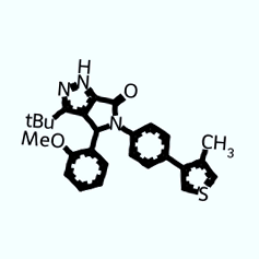 COc1ccccc1C1c2c(C(C)(C)C)n[nH]c2C(=O)N1c1ccc(-c2cscc2C)cc1